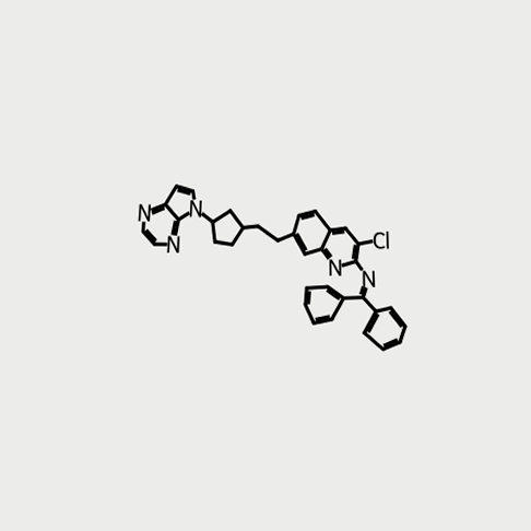 Clc1cc2ccc(CCC3CCC(n4ccc5nccnc54)C3)cc2nc1N=C(c1ccccc1)c1ccccc1